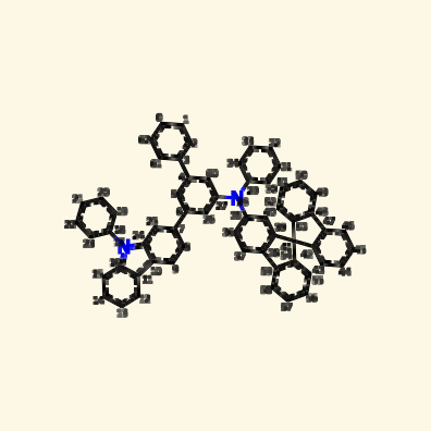 c1ccc(-c2cc(-c3ccc4c5ccccc5n(-c5ccccc5)c4c3)cc(N(c3ccccc3)c3ccc4c(c3)C3(c5ccccc5-c5ccccc53)c3ccccc3-4)c2)cc1